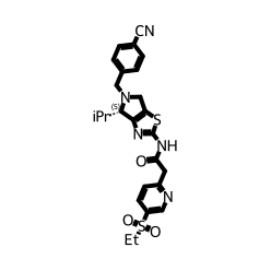 CCS(=O)(=O)c1ccc(CC(=O)Nc2nc3c(s2)CN(Cc2ccc(C#N)cc2)[C@H]3C(C)C)nc1